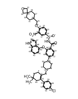 CC1(C)CCC(CN2CCN(c3ccc(C(=O)N[S+]([O-])c4ccc(OCC5CCC6(CC5)COC6)c([N+](=O)[O-])c4)c(Oc4cccc5[nH]ncc45)c3)CC2)=C(c2ccc(Cl)cc2)C1